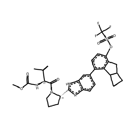 COC(=O)N[C@H](C(=O)N1CCC[C@H]1c1nc2ccc(-c3ccc(OS(=O)(=O)C(F)(F)F)c4c3C3CCC3C4)cc2[nH]1)C(C)C